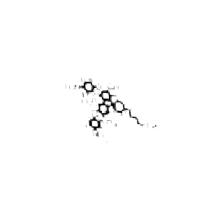 CCCCCCCCCCCCCCC1CCC(c2cc(C)c(Oc3ccc(N)cc3)c(C)c2)(c2cc(C)c(Oc3ccc(N)cc3)c(C)c2)CC1